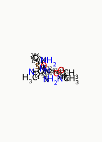 CCc1c(C#N)c(SC(C(N)=O)c2ccccc2)nc(N2CC(COC(=O)C(N)C(C)C)C2)c1C#N